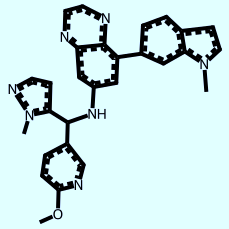 COc1ccc(C(Nc2cc(-c3ccc4ccn(C)c4c3)c3nccnc3c2)c2ccnn2C)cn1